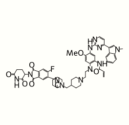 C=CC(=O)Nc1cc(Nc2nccc(-c3cn(C)c4ccccc34)n2)c(OC)cc1N(C)CCN1CCC(CN2CC3CCC2CN3c2cc3c(cc2F)C(=O)N(C2CCC(=O)NC2=O)C3=O)CC1